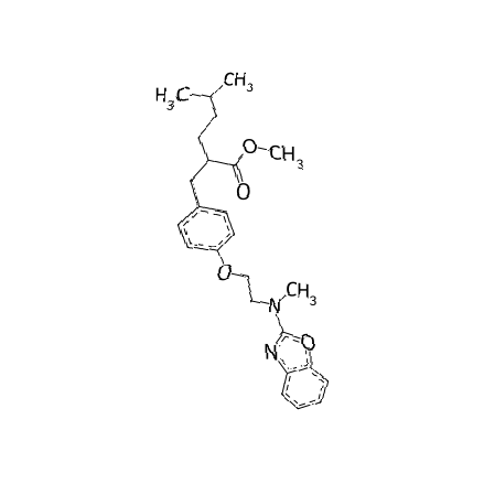 COC(=O)C(CCC(C)C)Cc1ccc(OCCN(C)c2nc3ccccc3o2)cc1